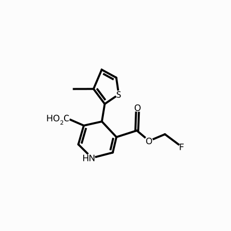 Cc1ccsc1C1C(C(=O)O)=CNC=C1C(=O)OCF